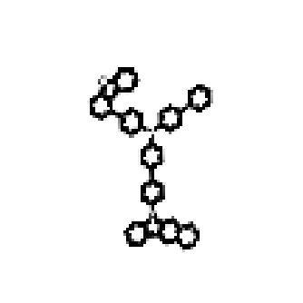 c1ccc(-c2ccc(N(c3ccc(-c4ccc(-n5c6ccccc6c6cc7ccccc7cc65)cc4)cc3)c3ccc(-c4cccc5oc6ccccc6c45)cc3)cc2)cc1